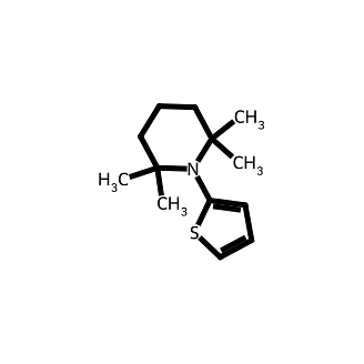 CC1(C)CCCC(C)(C)N1c1cccs1